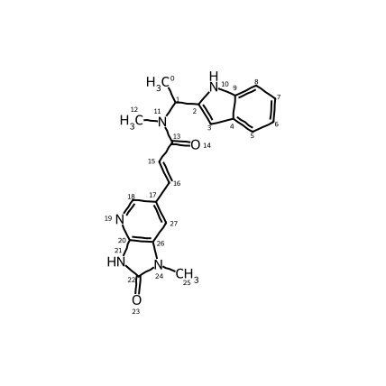 CC(c1cc2ccccc2[nH]1)N(C)C(=O)/C=C/c1cnc2[nH]c(=O)n(C)c2c1